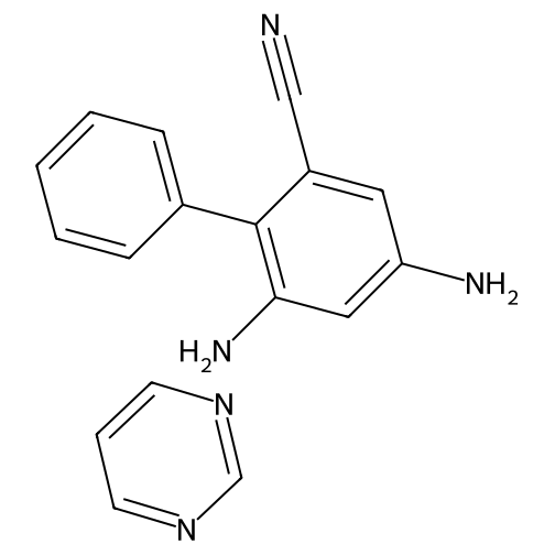 N#Cc1cc(N)cc(N)c1-c1ccccc1.c1cncnc1